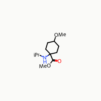 COC(=O)C1(NC(C)C)CCC(OC)CC1